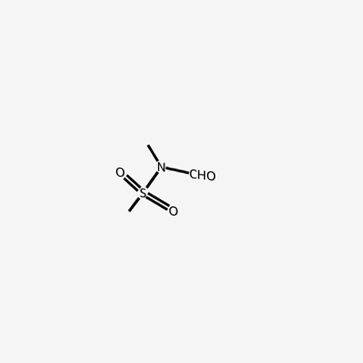 CN(C=O)S(C)(=O)=O